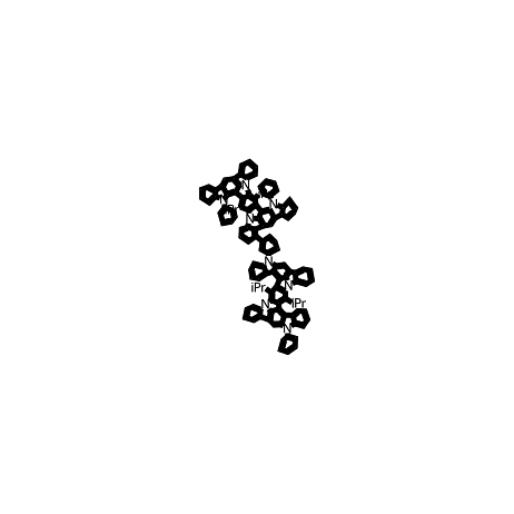 CC(C)c1c2c3c4c(cc5c6ccccc6n(c2c(C(C)C)c2c6c7c(cc8c9c(-c%10cccc(-n%11c%12ccccc%12c%12c%13c%14c(C(C)C)c%15c(c(C(C)C)c%14n%14c%16ccccc%16c(cc%12%11)c%13%14)c%11c%12c%13ccccc%13n(-c%13ccccc%13)c%12cc%12c%13ccccc%13n%15c%12%11)c%10)cccc9n(c12)c86)C1C=CC=CC1N7c1ccccc1)c53)c1ccccc1n4-c1ccccc1